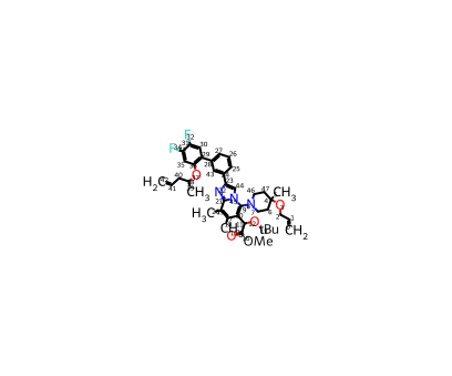 C=CCOC1(C)CCN(c2c(C(OC(C)(C)C)C(=O)OC)c(C)c(C)c3nc(-c4cccc(-c5cc(F)c(F)cc5OC(C)CC=C)c4)cn23)CC1